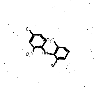 O=C(O)c1cccc(Br)c1Nc1ccc(Cl)cc1[N+](=O)[O-]